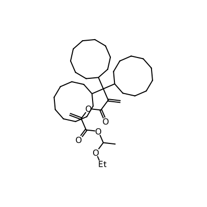 C=C(OC(=O)C(=C)C(C1CCCCCCCCC1)(C1CCCCCCCCC1)C1CCCCCCCCC1)C(=O)OC(C)OCC